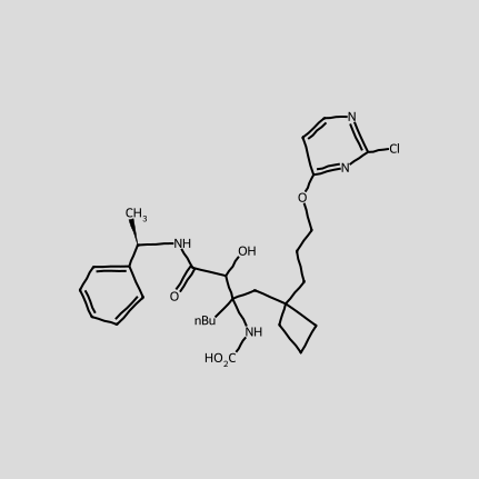 CCCCC(CC1(CCCOc2ccnc(Cl)n2)CCC1)(NC(=O)O)C(O)C(=O)N[C@H](C)c1ccccc1